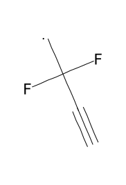 C#CC([CH2])(F)F